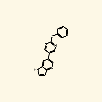 c1ccc(Oc2ncc(-c3cnc4cc[nH]c4c3)cn2)cc1